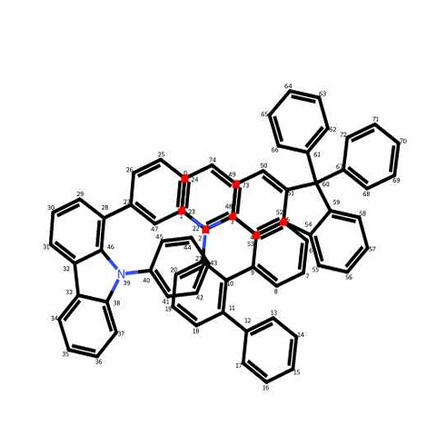 c1ccc(-c2ccccc2-c2c(-c3ccccc3)cccc2N(c2cccc(-c3cccc4c5ccccc5n(-c5ccccc5)c34)c2)c2ccc3c(c2)-c2ccccc2C3(c2ccccc2)c2ccccc2)cc1